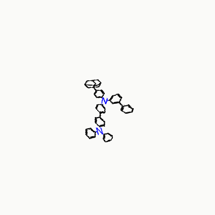 c1ccc(-c2cccc(N(c3ccc(-c4ccc(N(c5ccccc5)c5ccccc5)cc4)cc3)c3ccc(C45CC6CC(CC(C6)C4)C5)cc3)c2)cc1